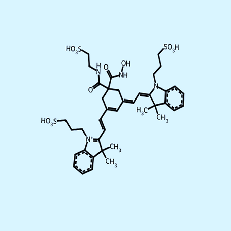 CC1(C)C(/C=C/C2=CC(=C/C=C3/N(CCCS(=O)(=O)O)c4ccccc4C3(C)C)/CC(C(=O)NO)(C(=O)NCCS(=O)(=O)O)C2)=[N+](CCCS(=O)(=O)O)c2ccccc21